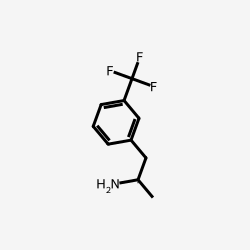 C[C](N)Cc1cccc(C(F)(F)F)c1